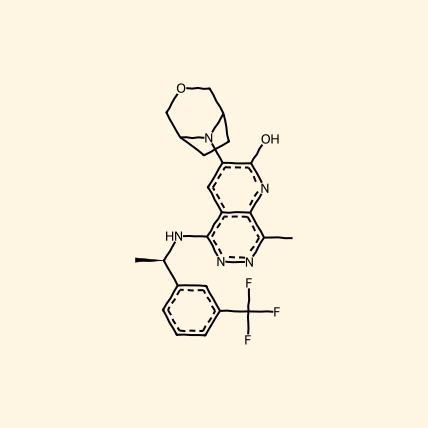 Cc1nnc(N[C@H](C)c2cccc(C(F)(F)F)c2)c2cc(N3C4CCC3COC4)c(O)nc12